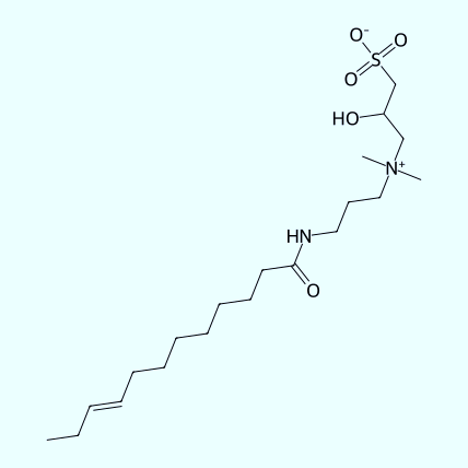 CC/C=C/CCCCCCCC(=O)NCCC[N+](C)(C)CC(O)CS(=O)(=O)[O-]